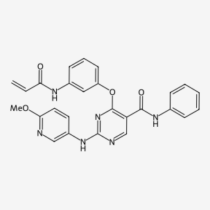 C=CC(=O)Nc1cccc(Oc2nc(Nc3ccc(OC)nc3)ncc2C(=O)Nc2ccccc2)c1